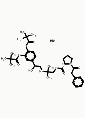 Br.CC(C)(CNC(=O)[C@@H]1CCCN1C(=O)Cc1ccccc1)NCC(O)c1ccc(OC(=O)C(C)(C)C)c(OC(=O)C(C)(C)C)c1